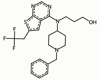 OCCCN(c1ncnc2sc(CC(F)(F)F)cc12)C1CCN(Cc2ccccc2)CC1